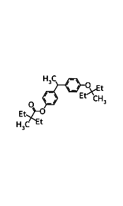 CCC(C)(CC)Oc1ccc(C(C)c2ccc(OC(=O)C(C)(CC)CC)cc2)cc1